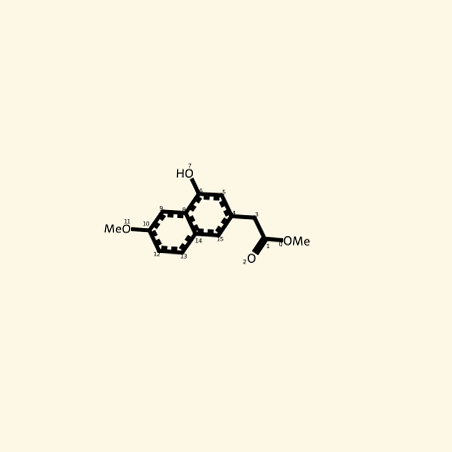 COC(=O)Cc1cc(O)c2cc(OC)ccc2c1